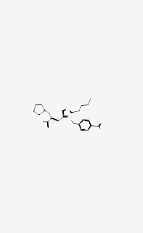 CCCCc1ncc(/C=C(\CC2CCCC2)C(=O)O)n1Cc1ccc(C(=O)O)cc1